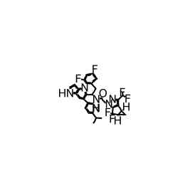 CC(C)c1ccc(-c2cc3[nH]ccc3nc2C(Cc2cc(F)cc(F)c2)NC(=O)Cn2nc(C(F)F)c3c2C(F)(F)[C@@H]2C[C@H]32)cn1